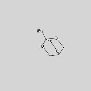 CCC(C)C12OCC(CO1)CS2